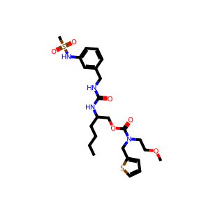 CCCCC(COC(=O)N(CCOC)Cc1cccs1)NC(=O)NCc1cccc(NS(C)(=O)=O)c1